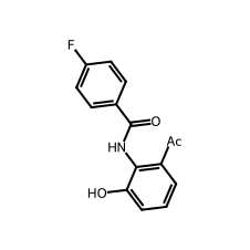 CC(=O)c1cccc(O)c1NC(=O)c1ccc(F)cc1